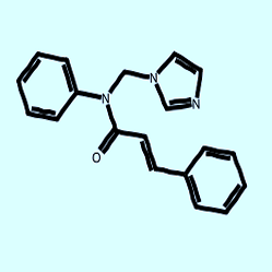 O=C(C=Cc1ccccc1)N(Cn1ccnc1)c1ccccc1